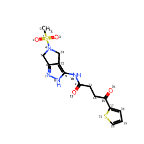 CS(=O)(=O)N1Cc2n[nH]c(NC(=O)CCC(=O)c3cccs3)c2C1